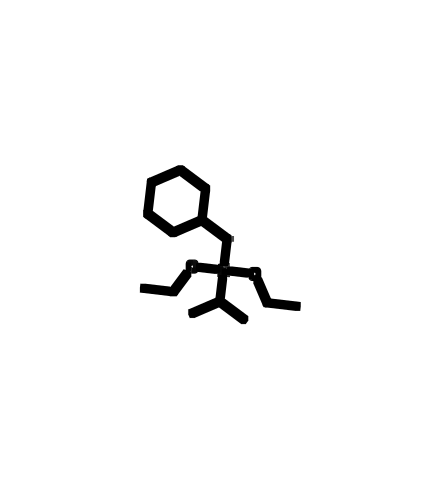 CCO[Si]([CH]C1CCCCC1)(OCC)C(C)C